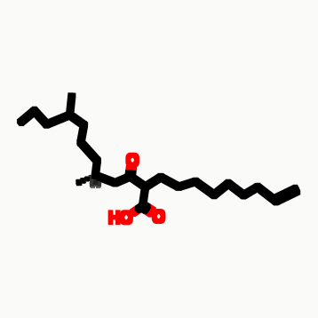 C=CCCCCCCCC(C(=O)O)C(=O)C[C@H](C)CCCC(C)CCC